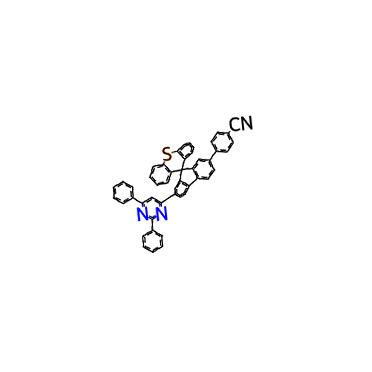 N#Cc1ccc(-c2ccc3c(c2)C2(c4ccccc4Sc4ccccc42)c2cc(-c4cc(-c5ccccc5)nc(-c5ccccc5)n4)ccc2-3)cc1